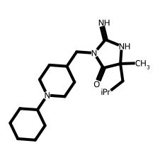 CC(C)CC1(C)NC(=N)N(CC2CCN(C3CCCCC3)CC2)C1=O